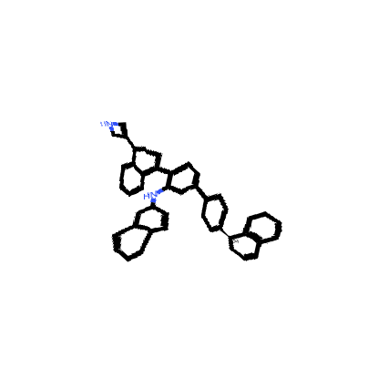 C1=CC2=C(CC1)[C@H](C1=CCC(C3=CC=C(C4=C5C=CCCC5C(C5=CNC5)CC4)C(NC4C=CC5CCC=CC5C4)C3)CC1)CC=C2